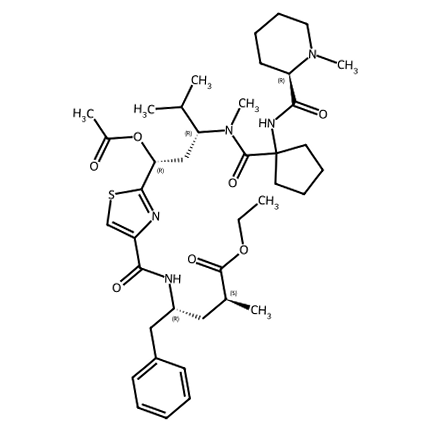 CCOC(=O)[C@@H](C)C[C@H](Cc1ccccc1)NC(=O)c1csc([C@@H](C[C@H](C(C)C)N(C)C(=O)C2(NC(=O)[C@H]3CCCCN3C)CCCC2)OC(C)=O)n1